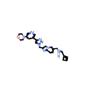 c1cc2nc(Cn3cc(-c4cncc(N5CCOCC5)c4)nn3)cn2cc1CNCC12CC(C1)C2